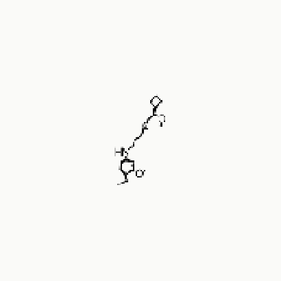 CCc1ccc(NCCCCCCC(OC)=C2CCC2)cc1OC